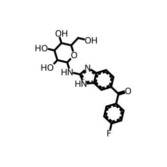 O=C(c1ccc(F)cc1)c1ccc2nc(NC3OC(CO)C(O)C(O)C3O)[nH]c2c1